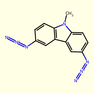 Cn1c2ccc(N=[N+]=[N-])cc2c2cc(N=[N+]=[N-])ccc21